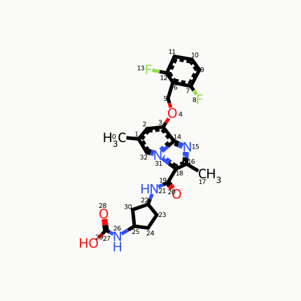 Cc1cc(OCc2c(F)cccc2F)c2nc(C)c(C(=O)NC3CCC(NC(=O)O)C3)n2c1